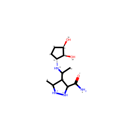 CC1NNC(C(N)=O)C1C(C)N[C@@H]1CC[C@@H](O)[C@H]1O